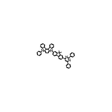 CC1(C)c2cc(-c3cc(-c4ccccc4)nc(-c4ccccc4)n3)ccc2-c2ccc(-n3c4ccccc4c4c5c6ccccc6n(-c6ccccc6)c5ccc43)cc21